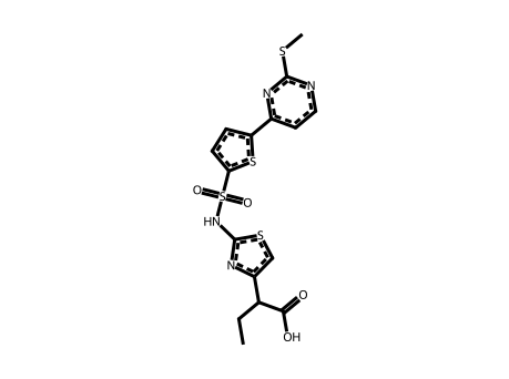 CCC(C(=O)O)c1csc(NS(=O)(=O)c2ccc(-c3ccnc(SC)n3)s2)n1